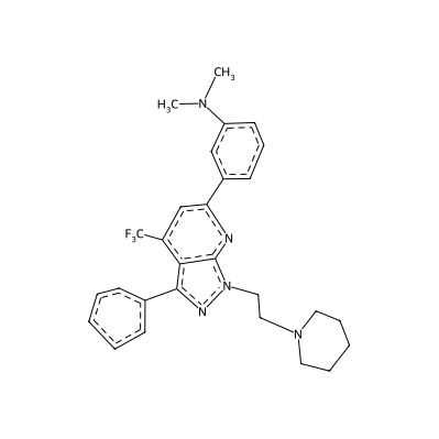 CN(C)c1cccc(-c2cc(C(F)(F)F)c3c(-c4ccccc4)nn(CCN4CCCCC4)c3n2)c1